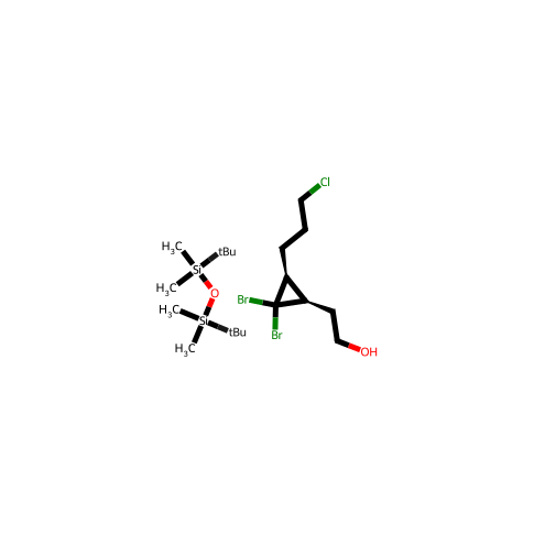 CC(C)(C)[Si](C)(C)O[Si](C)(C)C(C)(C)C.OCC[C@@H]1[C@H](CCCCl)C1(Br)Br